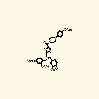 COc1ccc(N2CCN(C(=O)c3csc(CN(Cc4ccc5c(c4)OCO5)Cc4ccc(OC)cc4OC)n3)CC2)cc1